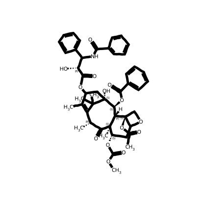 COC(=O)O[C@H]1CC2OC[C@@]2(OC(C)=O)[C@H]2[C@H](OC(=O)c3ccccc3)[C@]3(O)CC(OC(=O)[C@H](O)C(NC(=O)c4ccccc4)c4ccccc4)C(C)=C([C@@H](C)C(=O)[C@]12C)C3(C)C